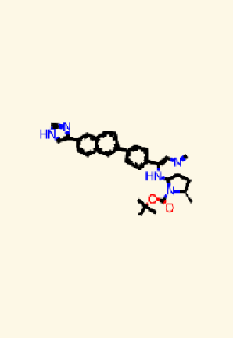 C=N/C=C(\NC1CC[C@@H](C)N1C(=O)OC(C)(C)C)c1ccc(-c2ccc3cc(-c4c[nH]cn4)ccc3c2)cc1